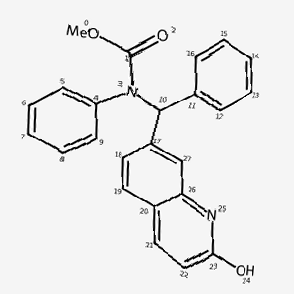 COC(=O)N(c1ccccc1)C(c1ccccc1)c1ccc2ccc(O)nc2c1